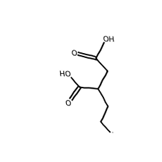 [CH2]CCC(CC(=O)O)C(=O)O